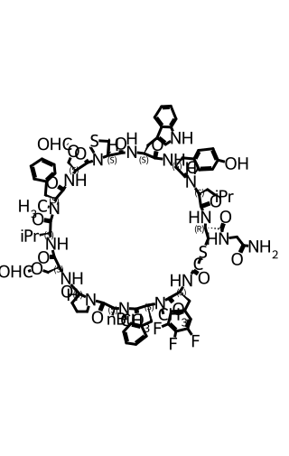 CCCC[C@H]1C(=O)N2CCC[C@@H]2C(=O)N[C@@H](COC=O)C(=O)N[C@@H](C(C)C)C(=O)N(C)[C@@H](Cc2ccccc2)C(=O)N[C@@H](COC=O)C(=O)N2CSC[C@@H]2C(=O)N[C@@H](Cc2c[nH]c3ccccc23)C(=O)N[C@@H](Cc2ccc(O)cc2)C(=O)N[C@@H](CC(C)C)C(=O)N[C@H](C(=O)NCC(N)=O)CSCC(=O)N[C@@H](Cc2cc(F)c(F)c(F)c2)C(=O)N(C)[C@@H](Cc2ccccc2)C(=O)N1C